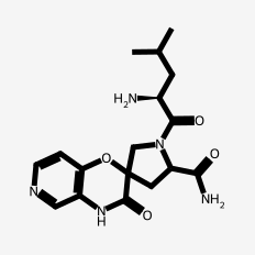 CC(C)C[C@H](N)C(=O)N1CC2(CC1C(N)=O)Oc1ccncc1NC2=O